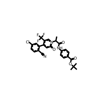 CC(C(=O)Nc1ccc(C(=O)OC(C)(C)C)cc1)n1cc(C(F)(F)F)c(-c2cc(Cl)ccc2C#N)cc1=O